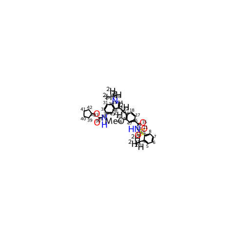 [2H]C([2H])([2H])c1ccccc1S(=O)(=O)NC(=O)c1ccc(C([2H])([2H])c2cn(C([2H])([2H])[2H])c3ccc(NC(=O)OC4CCCC4)cc23)c(OC)c1